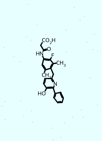 Cc1cc(NC(=O)CC(=O)O)c(F)c(C)c1Cc1ccc(O)c(-c2ccccc2)n1